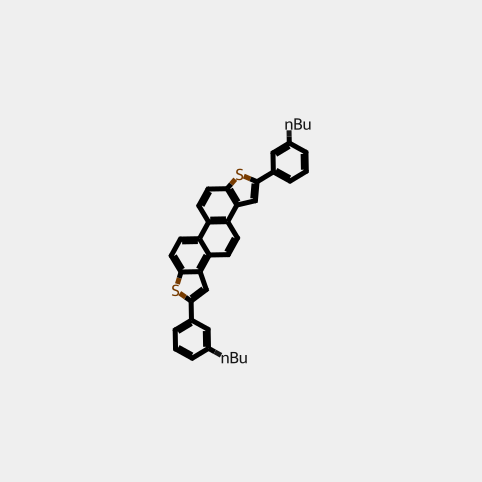 CCCCc1cccc(-c2cc3c(ccc4c3ccc3c5cc(-c6cccc(CCCC)c6)sc5ccc34)s2)c1